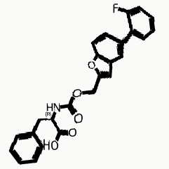 O=C(N[C@H](Cc1ccccc1)C(=O)O)OCc1cc2cc(-c3ccccc3F)ccc2o1